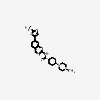 Cc1nc(-c2ccc3cnc(NC(=O)[C@H]4CC[C@H](N5CCN(C)CC5)CC4)nc3c2)co1